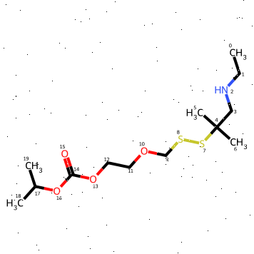 CCNCC(C)(C)SSCOCCOC(=O)OC(C)C